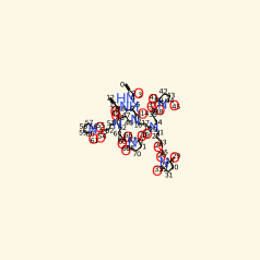 C#CC(=O)NCC(CNC(=O)C#C)C(=O)N(CCC(=O)N(CCCOCON1C(=O)CCC1=O)CCC(=O)ON1C(=O)CCC1=O)CCC(=O)N(CCC(=O)ON1CCCC1=O)CCC(=O)ON1C(=O)CCC1=O